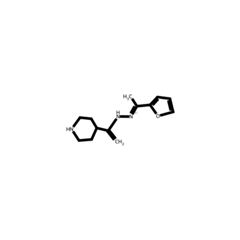 C=C(N/N=C(\C)c1ccco1)C1CCNCC1